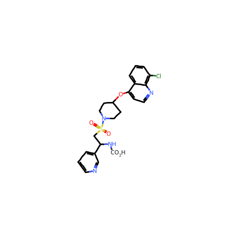 O=C(O)NC(CS(=O)(=O)N1CCC(Oc2ccnc3c(Cl)cccc23)CC1)c1cccnc1